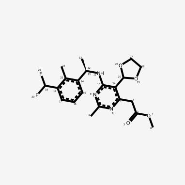 COC(=O)Cc1nc(C)nc(N[C@H](C)c2cccc(C(F)F)c2C)c1C1OCCO1